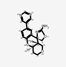 NC1=N[C@@]2(CO1)c1cc(-c3cncnc3)ccc1O[C@@H]1CCOC[C@H]12